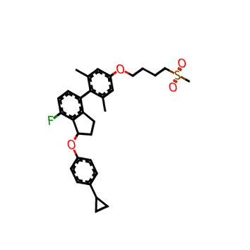 Cc1cc(OCCCCS(C)(=O)=O)cc(C)c1-c1ccc(F)c2c1CCC2Oc1ccc(C2CC2)cc1